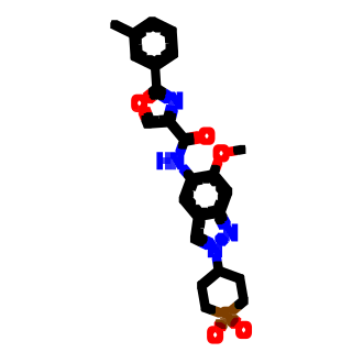 COc1cc2nn(C3CCS(=O)(=O)CC3)cc2cc1NC(=O)c1coc(-c2cccc(C)c2)n1